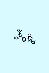 CC(=O)N1C[C@H](CO)[C@@H](c2cccc(-c3nc(N4CC[C@@H]4C)nc4c3CCC4)c2)C1